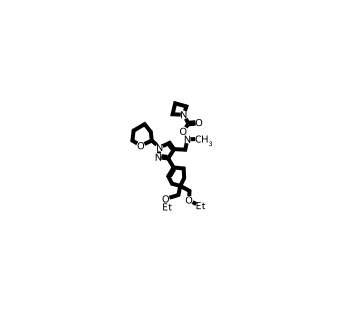 CCOCC1(COCC)CC=C(c2nn(C3CCCCO3)cc2CN(C)OC(=O)N2CCC2)CC1